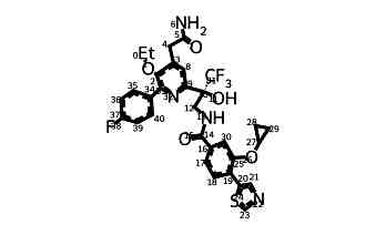 CCOc1c(CC(N)=O)cc([C@@](O)(CNC(=O)c2ccc(-c3cncs3)c(OC3CC3)c2)C(F)(F)F)nc1-c1ccc(F)cc1